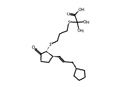 O=C1CC[C@H](/C=C/CC2CCCC2)[C@H]1SCCCSC(O)(O)C(=O)O